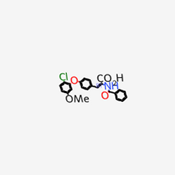 COc1ccc(Cl)c(Oc2ccc(/C=C(/NC(=O)c3ccccc3)C(=O)O)cc2)c1